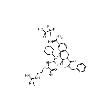 CN(Cc1ccccc1)C(=O)C(Cc1ccc(C(=N)N)cc1)C(=O)N[C@H](C(=O)N[C@@H](CCCNC(=N)N)C(N)=O)C1CCCCC1.O=C(O)C(F)(F)F